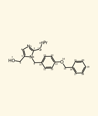 CCCSc1ncc(CO)n1Cc1ccc(OCc2ccccc2)cc1